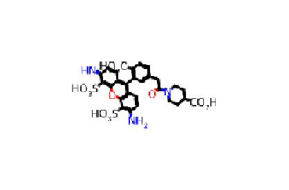 N=c1ccc2c(-c3cc(CC(=O)N4CCC(C(=O)O)CC4)ccc3C(=O)O)c3ccc(N)c(S(=O)(=O)O)c3oc-2c1S(=O)(=O)O